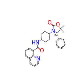 CC1(C)OC(=O)N(C2CCC(NC(=O)c3cccc4cccnc34)CC2)[C@H]1c1ccccc1